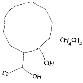 C.C.CCC(O)C1CCCCCCCC[C]1O